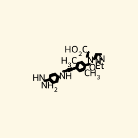 CCn1nccc1N(CCC(=O)O)C(=O)c1cc(C)c(C#CCNc2ccc(C(=N)N)cc2)cc1C